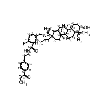 CCCC1(C(=O)NCc2ccc(F)c(C(=O)NCCc3ccc(C(=O)OC)cc3)c2)CC[C@]2(C)C(CCC3C4(C)CCC(O)C(C)(C)C4CCC32C)C1C